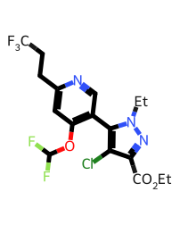 CCOC(=O)c1nn(CC)c(-c2cnc(CCC(F)(F)F)cc2OC(F)F)c1Cl